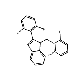 Fc1cccc(F)c1CC1C(c2c(F)cccc2F)=Nc2ccccc21